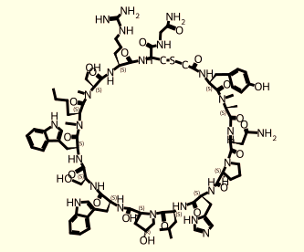 CCCC[C@H]1C(=O)N(C)[C@@H](CO)C(=O)N[C@@H](CCCNC(=N)N)C(=O)NC(C(=O)NCC(N)=O)CSCC(=O)N[C@@H](Cc2ccc(O)cc2)C(=O)N(C)[C@@H](C)C(=O)N[C@@H](CC(N)=O)C(=O)N2CCC[C@H]2C(=O)N[C@@H](Cc2cnc[nH]2)C(=O)N[C@@H](CC(C)C)C(=O)N2C[C@H](O)C[C@H]2C(=O)N[C@@H](Cc2c[nH]c3ccccc23)C(=O)N[C@@H](CO)C(=O)N[C@@H](Cc2c[nH]c3ccccc23)C(=O)N1C